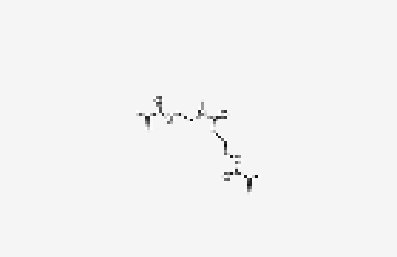 C=C(C)C(=O)OCCCC(=O)N(C)CCOC(=O)C(=C)C